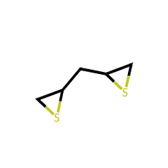 C1SC1CC1CS1